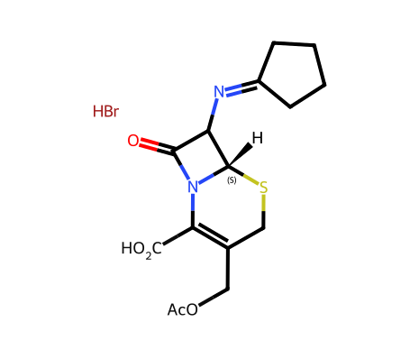 Br.CC(=O)OCC1=C(C(=O)O)N2C(=O)C(N=C3CCCC3)[C@@H]2SC1